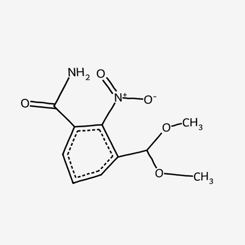 COC(OC)c1cccc(C(N)=O)c1[N+](=O)[O-]